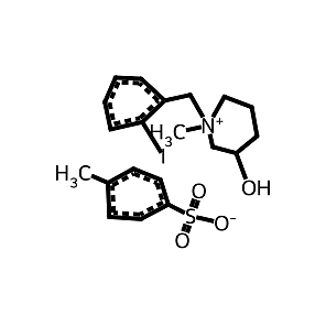 C[N+]1(Cc2ccccc2I)CCCC(O)C1.Cc1ccc(S(=O)(=O)[O-])cc1